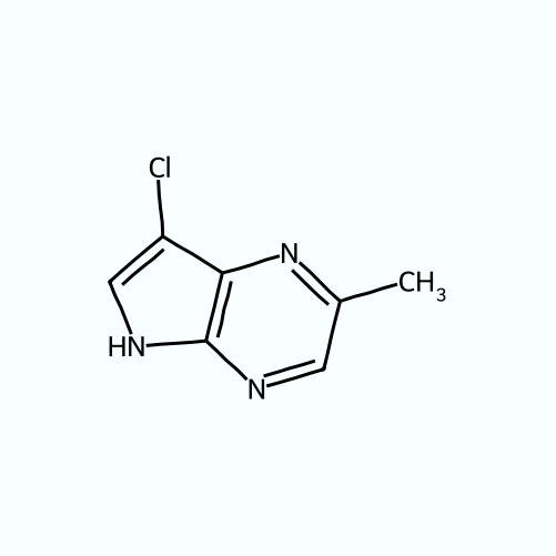 Cc1cnc2[nH]cc(Cl)c2n1